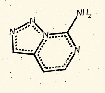 Nc1nccc2cnnn12